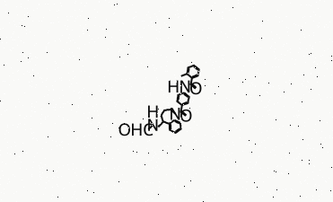 Cc1ccccc1C(=O)Nc1ccc(C(=O)N2CCCC(CNC=O)c3ccccc32)cc1